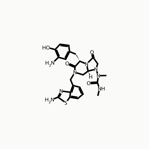 CNC(=O)N(C)N1CC(=O)N2[C@@H](Cc3ccc(O)c(N)c3)C(=O)N(Cc3cccc4sc(N)nc34)C[C@@H]21